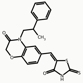 CC(CN1C(=O)COc2ccc(C=C3SC(=S)NC3=O)cc21)c1ccccc1